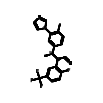 Cc1ccc([C@H](C)N(C=O)c2cc(C(F)(F)F)ccc2F)cc1-n1ccnc1